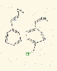 C/C=C/c1ccccc1.C=Cc1ccc(CCl)cc1